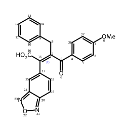 COc1ccc(C(=O)/C(Cc2ccccc2)=C(/C(=O)O)c2ccc3nonc3c2)cc1